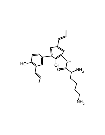 CC=Cc1cc(NC(=O)C(N)CCCCN)c(O)c(-c2ccc(O)c(C=CC)c2)c1